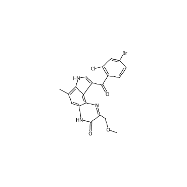 COCc1nc2c(cc(C)c3[nH]cc(C(=O)c4ccc(Br)cc4Cl)c32)[nH]c1=O